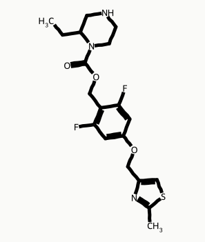 CCC1CNCCN1C(=O)OCc1c(F)cc(OCc2csc(C)n2)cc1F